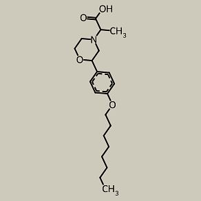 CCCCCCCCOc1ccc(C2CN(C(C)C(=O)O)CCO2)cc1